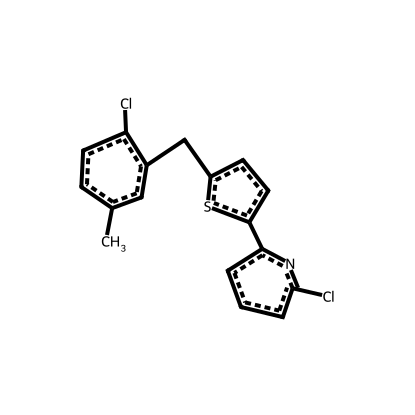 Cc1ccc(Cl)c(Cc2ccc(-c3cccc(Cl)n3)s2)c1